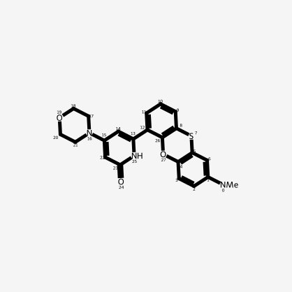 CNc1ccc2c(c1)Sc1cccc(-c3cc(N4CCOCC4)cc(=O)[nH]3)c1O2